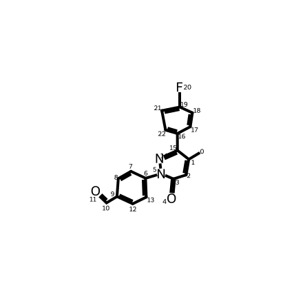 Cc1cc(=O)n(-c2ccc(C=O)cc2)nc1-c1ccc(F)cc1